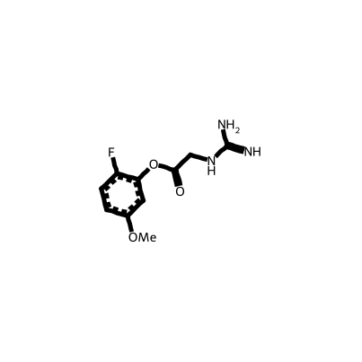 COc1ccc(F)c(OC(=O)CNC(=N)N)c1